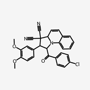 COc1ccc(C2C(C(=O)c3ccc(Cl)cc3)N3c4ccccc4C=CC3C2(C#N)C#N)cc1OC